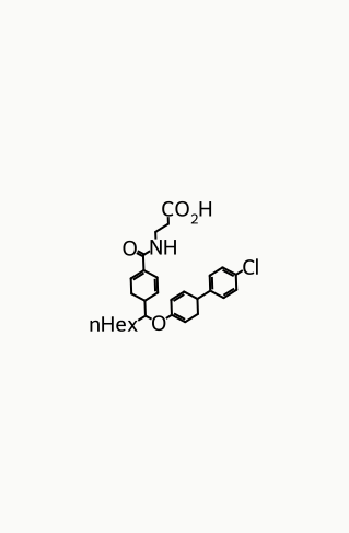 CCCCCCC(OC1=CCC(c2ccc(Cl)cc2)C=C1)C1C=CC(C(=O)NCCC(=O)O)=CC1